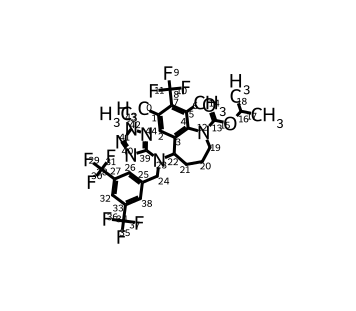 Cc1cc2c(c(C)c1C(F)(F)F)N(C(=O)OC(C)C)CCCC2N(Cc1cc(C(F)(F)F)cc(C(F)(F)F)c1)c1nnn(C)n1